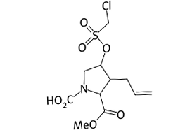 C=CCC1C(OS(=O)(=O)CCl)CN(C(=O)O)C1C(=O)OC